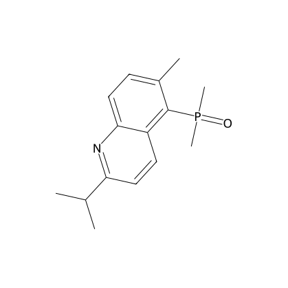 Cc1ccc2nc(C(C)C)ccc2c1P(C)(C)=O